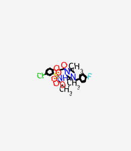 COC(=O)NS(=O)(=O)c1cc(Cl)ccc1OCC(=O)N1C[C@H](C)N(Cc2ccc(F)cc2)C[C@H]1C